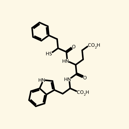 O=C(O)CCC(NC(=O)C(S)Cc1ccccc1)C(=O)NC(Cc1c[nH]c2ccccc12)C(=O)O